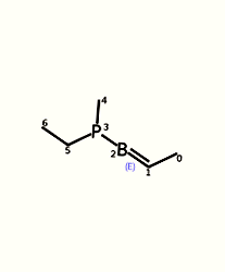 C/C=B/P(C)CC